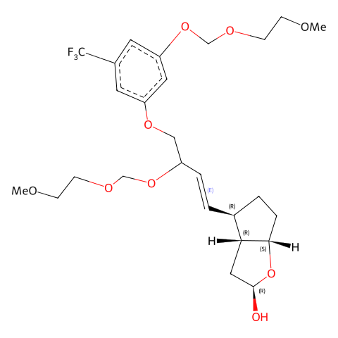 COCCOCOc1cc(OCC(/C=C/[C@H]2CC[C@@H]3O[C@@H](O)C[C@@H]32)OCOCCOC)cc(C(F)(F)F)c1